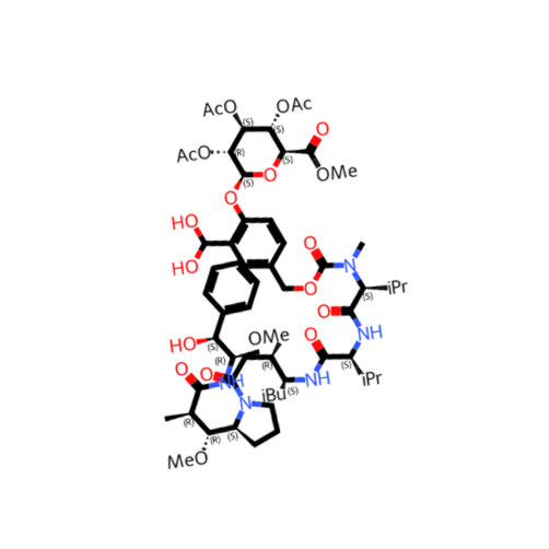 CCC(C)[C@H](NC(=O)[C@@H](NC(=O)[C@H](C(C)C)N(C)C(=O)OCc1ccc(O[C@@H]2O[C@H](C(=O)OC)[C@@H](OC(C)=O)[C@H](OC(C)=O)[C@H]2OC(C)=O)c(C(O)O)c1)C(C)C)[C@@H](CC(=O)N1CCC[C@H]1[C@H](OC)[C@@H](C)C(=O)N[C@H](C)[C@@H](O)c1ccccc1)OC